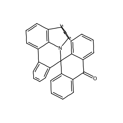 O=C1c2ccccc2C2(c3ccccc31)c1ccccc1-c1cccc3c4ccccc4n2c13